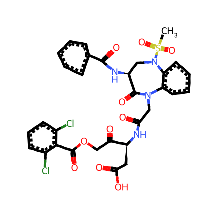 CS(=O)(=O)N1C[C@H](NC(=O)c2ccccc2)C(=O)N(CC(=O)N[C@@H](CC(=O)O)C(=O)COC(=O)c2c(Cl)cccc2Cl)c2ccccc21